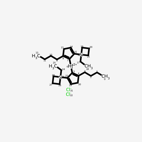 CCCCC1=[C]([Hf+2][C]2=C(CCCC)CC=C2[Si]2(CC)CCC2)C([Si]2(CC)CCC2)=CC1.[Cl-].[Cl-]